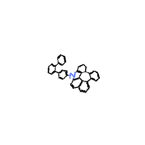 c1ccc(-c2ccccc2-c2ccc(-n3c4cccc5c4c4c6c(cccc6ccc43)-c3ccccc3-5)cc2)cc1